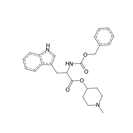 CN1CCC(OC(=O)C(Cc2c[nH]c3ccccc23)NC(=O)OCc2ccccc2)CC1